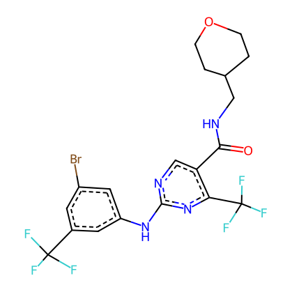 O=C(NCC1CCOCC1)c1cnc(Nc2cc(Br)cc(C(F)(F)F)c2)nc1C(F)(F)F